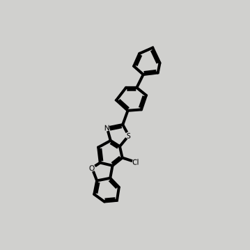 Clc1c2sc(-c3ccc(-c4ccccc4)cc3)nc2cc2oc3ccccc3c12